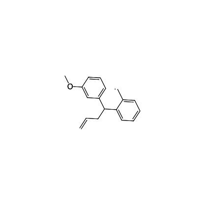 [CH2]c1ccccc1C(CC=C)c1cccc(OC)c1